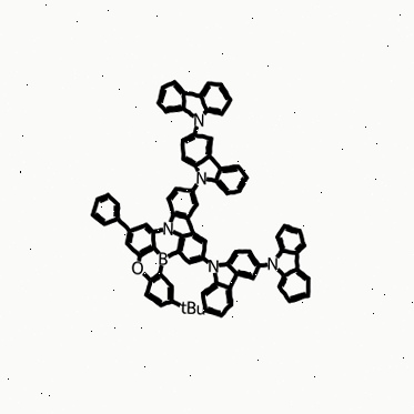 CC(C)(C)c1ccc2c(c1)B1c3c(cc(-c4ccccc4)cc3-n3c4ccc(-n5c6ccccc6c6cc(-n7c8ccccc8c8ccccc87)ccc65)cc4c4cc(-n5c6ccccc6c6cc(-n7c8ccccc8c8ccccc87)ccc65)cc1c43)O2